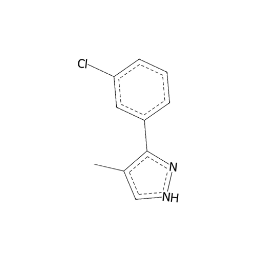 Cc1c[nH]nc1-c1cccc(Cl)c1